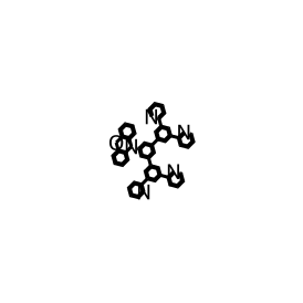 c1ccc(-c2cc(-c3cc(-c4cc(-c5ccccn5)cc(-c5ccccn5)c4)cc(N4c5ccccc5Oc5ccccc54)c3)cc(-c3ccccn3)c2)nc1